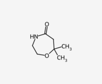 CC1(C)CC(=O)NCCO1